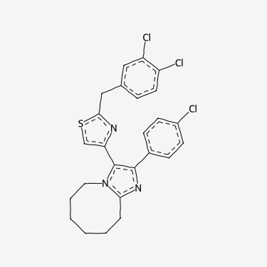 Clc1ccc(-c2nc3n(c2-c2csc(Cc4ccc(Cl)c(Cl)c4)n2)CCCCCC3)cc1